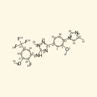 COc1cc(-c2nc(Nc3cc(C(F)(F)F)cc(OC)c3F)n(C)n2)ccc1-n1cnc(C)c1